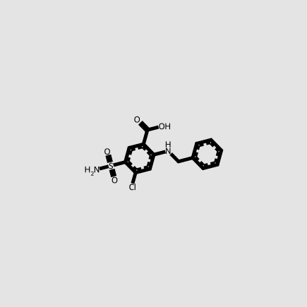 NS(=O)(=O)c1cc(C(=O)O)c(NCc2ccccc2)cc1Cl